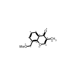 COCc1cccc2c(=O)c(C)coc12